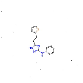 c1ccc(Nc2n[nH]c(CCc3cccs3)n2)cc1